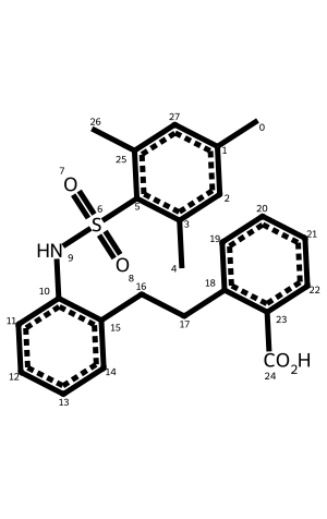 Cc1cc(C)c(S(=O)(=O)Nc2ccccc2CCc2ccccc2C(=O)O)c(C)c1